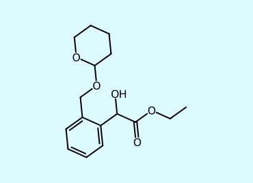 CCOC(=O)C(O)c1ccccc1COC1CCCCO1